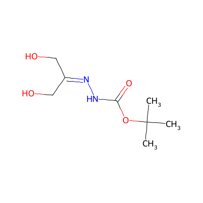 CC(C)(C)OC(=O)NN=C(CO)CO